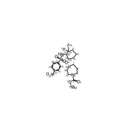 CC(C)(C)OC(=O)N1CCC[C@@H](O[C@H]2CCCC(F)(F)[C@@H]2NS(=O)(=O)c2ccc([N+](=O)[O-])cc2)CC1